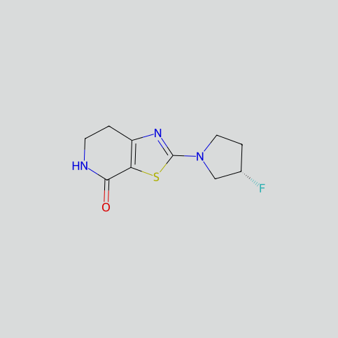 O=C1NCCc2nc(N3CC[C@H](F)C3)sc21